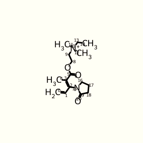 C=CC(=C(C)C(=O)OCC[N+](C)(C)CC)N1CCCC1=O